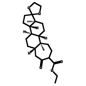 CCOC(=O)C1CC[C@@]2(C)[C@@H](CC[C@@H]3[C@@H]2CC[C@@]2(C)[C@H]3CCC23OCCO3)CC1=O